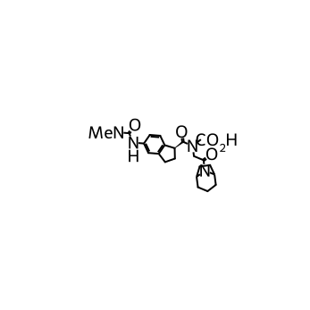 CNC(=O)Nc1ccc2c(c1)CC[C@@H]2C(=O)N(CC(=O)N1C2CCCC1CC2)C(=O)O